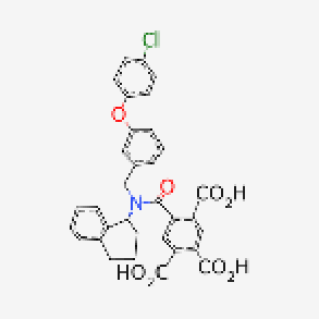 O=C(O)c1cc(C(=O)O)c(C(=O)N(Cc2cccc(Oc3ccc(Cl)cc3)c2)[C@H]2CCCc3ccccc32)cc1C(=O)O